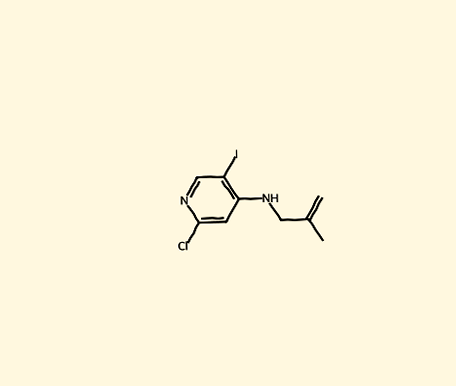 C=C(C)CNc1cc(Cl)ncc1I